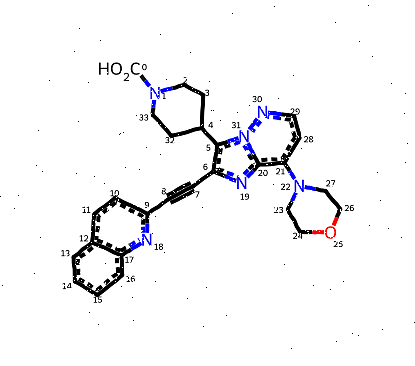 O=C(O)N1CCC(c2c(C#Cc3ccc4ccccc4n3)nc3c(N4CCOCC4)ccnn23)CC1